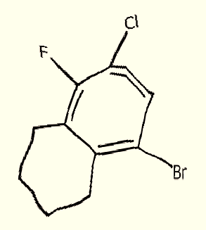 Fc1c(Cl)cc(Br)c2c1CCCC2